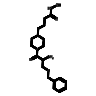 NC(COCc1ccccc1)C(=O)N1CCC(CCCC(=O)NO)CC1